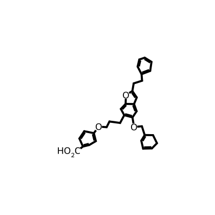 O=C(O)c1ccc(OCCCc2cc3oc(CCc4ccccc4)cc3cc2OCC2=CC=CCC2)cc1